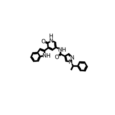 CC(c1ccccc1)n1cc(C(=O)Nc2c[nH]c(=O)c(-c3cc4ccccc4[nH]3)c2)cn1